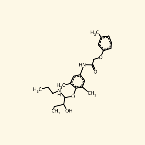 CCCNC(Oc1c(C)cc(NC(=O)COc2cccc(C)c2)cc1C)C(O)CC